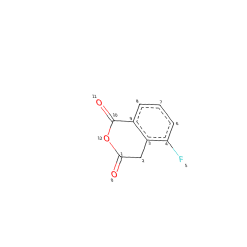 O=C1Cc2c(F)cccc2C(=O)O1